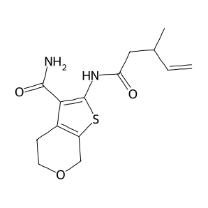 C=CC(C)CC(=O)Nc1sc2c(c1C(N)=O)CCOC2